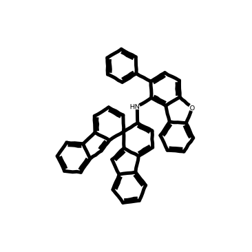 C1=CC2(C(Nc3c(-c4ccccc4)ccc4oc5ccccc5c34)=CC=C3C2=Cc2ccccc23)C2=Cc3ccccc3C2=C1